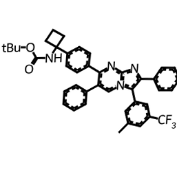 Cc1cc(-c2c(-c3ccccc3)nc3nc(-c4ccc(C5(NC(=O)OC(C)(C)C)CCC5)cc4)c(-c4ccccc4)cn23)cc(C(F)(F)F)c1